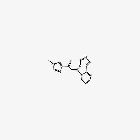 Cn1cnc(C(=O)CC2c3ccccc3-c3cncn32)c1